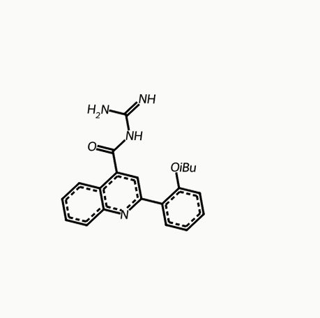 CC(C)COc1ccccc1-c1cc(C(=O)NC(=N)N)c2ccccc2n1